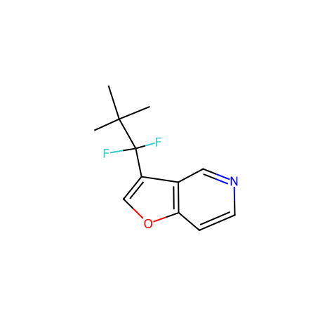 CC(C)(C)C(F)(F)c1coc2ccncc12